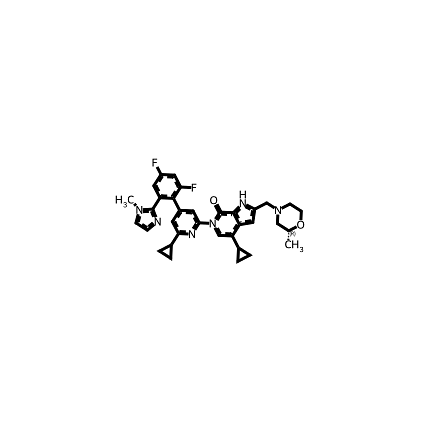 C[C@@H]1CN(Cc2cc3c(C4CC4)cn(-c4cc(-c5c(F)cc(F)cc5-c5nccn5C)cc(C5CC5)n4)c(=O)c3[nH]2)CCO1